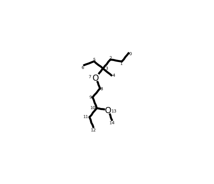 CCCC(C)(CC)OCCC(CC)OC